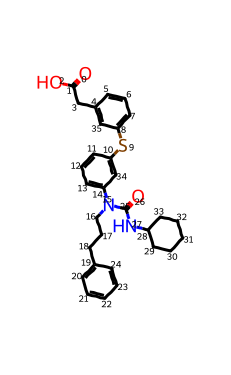 O=C(O)Cc1cccc(Sc2cccc(N(CCCc3ccccc3)C(=O)NC3CCCCC3)c2)c1